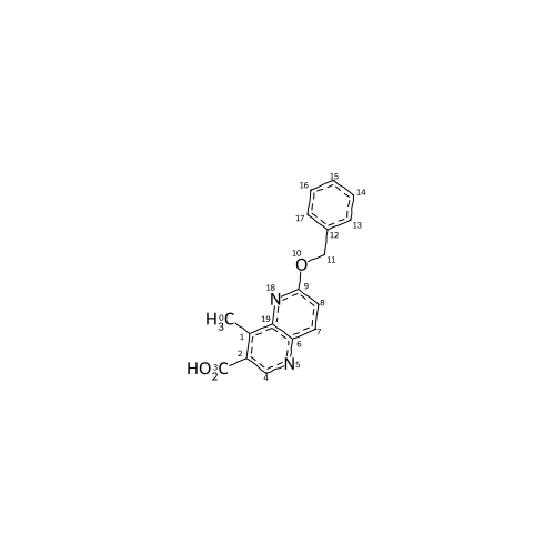 Cc1c(C(=O)O)cnc2ccc(OCc3ccccc3)nc12